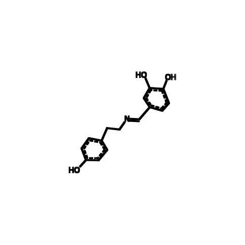 Oc1ccc(CC/N=C/c2ccc(O)c(O)c2)cc1